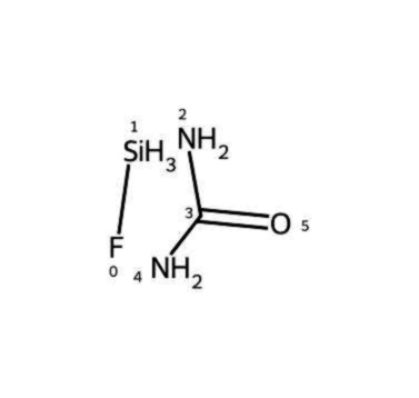 F[SiH3].NC(N)=O